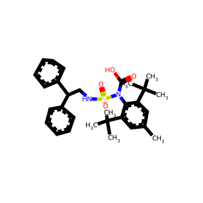 Cc1cc(C(C)(C)C)c(N(C(=O)O)S(=O)(=O)NCC(c2ccccc2)c2ccccc2)c(C(C)(C)C)c1